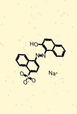 O=S(=O)([O-])c1ccc(/N=N/c2c(O)ccc3ccccc23)c2ccccc12.[Na+]